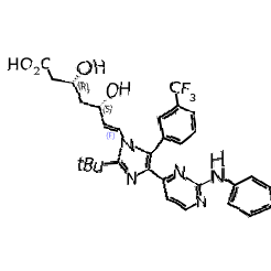 CC(C)(C)c1nc(-c2ccnc(Nc3ccccc3)n2)c(-c2cccc(C(F)(F)F)c2)n1/C=C/[C@@H](O)C[C@@H](O)CC(=O)O